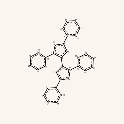 c1ccc(-c2cc(-c3cc(-c4ccccn4)sc3-c3ccccn3)c(-c3ccccn3)s2)nc1